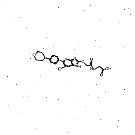 O=C(O)CNC(=O)COc1nc2nc(-c3ccc(N4CCOCC4)cc3)c(Cl)cc2[nH]1